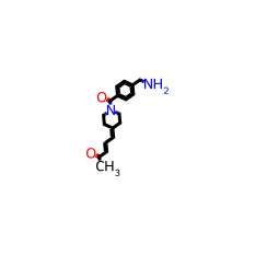 CC(=O)/C=C/C=C1CCN(C(=O)c2ccc(CN)cc2)CC1